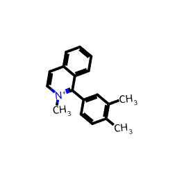 Cc1ccc(-c2c3ccccc3cc[n+]2C)cc1C